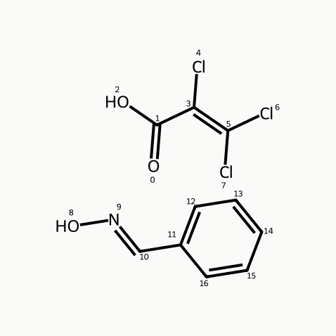 O=C(O)C(Cl)=C(Cl)Cl.ON=Cc1ccccc1